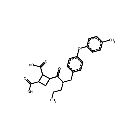 CCCN(Cc1ccc(Oc2ccc(C)cc2)cc1)C(=O)C1CC(C(=O)O)C1C(=O)O